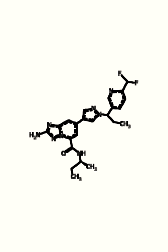 CCC(c1ccc(C(F)F)nc1)n1cc(-c2cc(C(=O)N[C@@H](C)CC)n3nc(N)nc3c2)cn1